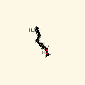 Nc1ncccc1-c1cc(Cc2ccc(OCc3ccnc(OCc4ccc(-c5cc(Cc6ccc(CNc7cc(F)cc(F)c7)cc6)no5)c(N)n4)c3)nc2)no1